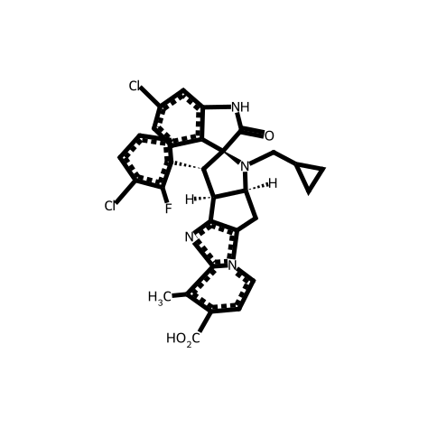 Cc1c(C(=O)O)ccn2c3c(nc12)[C@@H]1[C@H](C3)N(CC2CC2)[C@@]2(C(=O)Nc3cc(Cl)ccc32)[C@H]1c1cccc(Cl)c1F